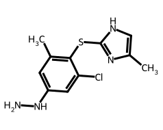 Cc1c[nH]c(Sc2c(C)cc(NN)cc2Cl)n1